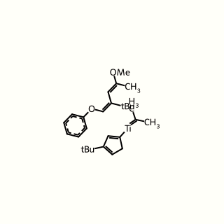 COC(C)=CC(=COc1ccccc1)C(C)(C)C.C[C](C)=[Ti][C]1=CC(C(C)(C)C)=CC1